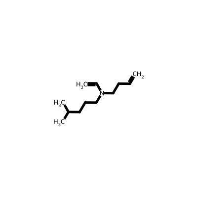 C=CCCN(C=C)CCCC(C)C